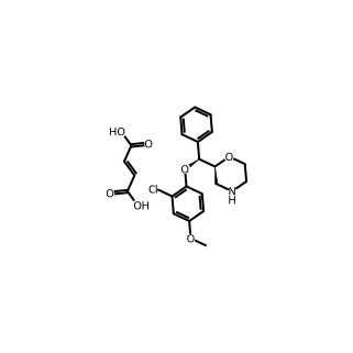 COc1ccc(O[C@@H](c2ccccc2)[C@@H]2CNCCO2)c(Cl)c1.O=C(O)C=CC(=O)O